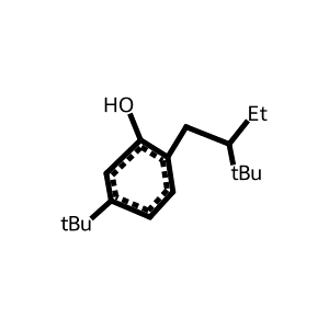 CCC(Cc1ccc(C(C)(C)C)cc1O)C(C)(C)C